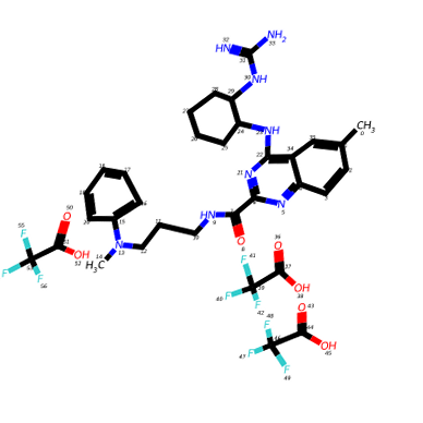 Cc1ccc2nc(C(=O)NCCCN(C)c3ccccc3)nc(NC3CCCCC3NC(=N)N)c2c1.O=C(O)C(F)(F)F.O=C(O)C(F)(F)F.O=C(O)C(F)(F)F